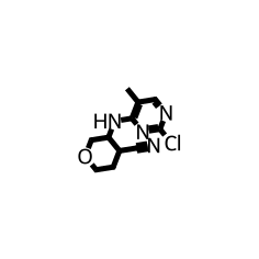 Cc1cnc(Cl)nc1NC1COCCC1C#N